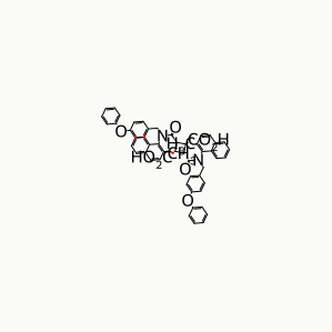 Cc1ccc2ccccc2c1N(Cc1ccc(Oc2ccccc2)cc1)C(=O)[C@H]1[C@H](C(=O)O)[C@H](C(=O)N(Cc2ccc(Oc3ccccc3)cc2)c2c(C)ccc3ccccc23)[C@H]1C(=O)O